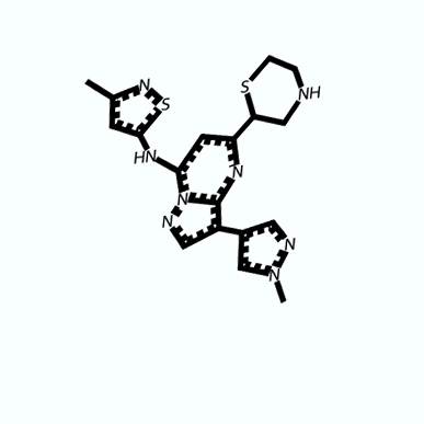 Cc1cc(Nc2cc(C3CNCCS3)nc3c(-c4cnn(C)c4)cnn23)sn1